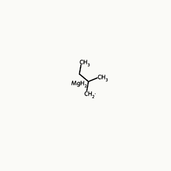 [CH2]C(C)CC.[MgH2]